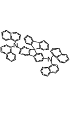 c1ccc2c(c1)-c1ccccc1C21c2cc(N(c3cccc4ccccc34)c3cccc4ccccc34)ccc2-c2ccc(N(c3cccc4ccccc34)c3cccc4ccccc34)cc21